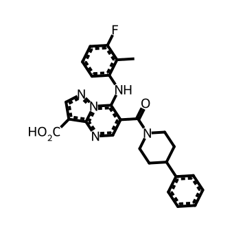 Cc1c(F)cccc1Nc1c(C(=O)N2CCC(c3ccccc3)CC2)cnc2c(C(=O)O)cnn12